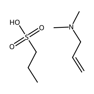 C=CCN(C)C.CCCS(=O)(=O)O